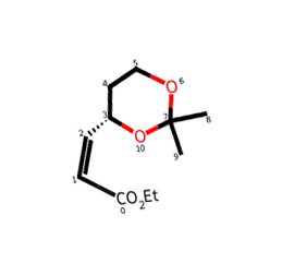 CCOC(=O)/C=C\[C@@H]1CCOC(C)(C)O1